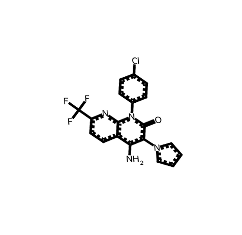 Nc1c(-n2cccc2)c(=O)n(-c2ccc(Cl)cc2)c2nc(C(F)(F)F)ccc12